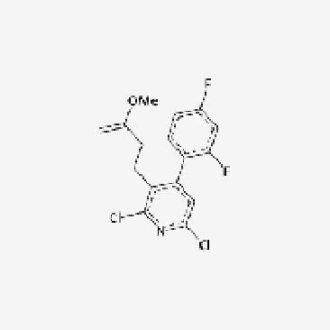 C=C(CCc1c(-c2ccc(F)cc2F)cc(Cl)nc1Cl)OC